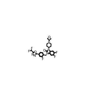 O=c1n(Cc2ccc(-c3nnc(C(F)F)o3)cc2F)c2cc(F)c(F)cc2n1C1CCN(C2COC2)CC1